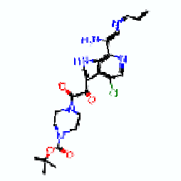 C=C/C=N\C=C(/N)c1ncc(Cl)c2c(C(=O)C(=O)N3CCN(C(=O)OC(C)(C)C)CC3)c[nH]c12